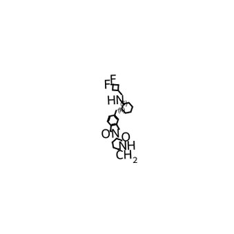 C=C1CCC(N2Cc3cc(C[C@H]4CCCC[C@@H]4NCC4CC(F)(F)C4)ccc3C2=O)C(=O)N1